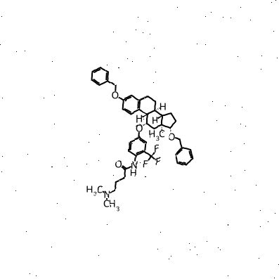 CN(C)CCCC(=O)Nc1ccc(O[C@H]2C[C@]3(C)[C@@H](OCc4ccccc4)CC[C@H]3[C@@H]3CCc4cc(OCc5ccccc5)ccc4[C@H]32)cc1C(F)(F)F